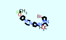 CCc1nc2ccc(Br)cn2c1C(=O)NCc1ccc(N2CCCN(c3ccc(OC(C)(F)F)cc3)CC2)cc1